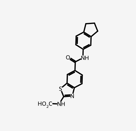 O=C(O)Nc1nc2ccc(C(=O)Nc3ccc4c(c3)CCC4)cc2s1